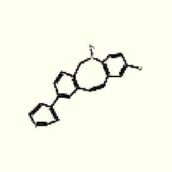 CC(=O)N1Cc2ccc(-c3ccncc3)cc2C=Cc2cc(Cl)ccc21